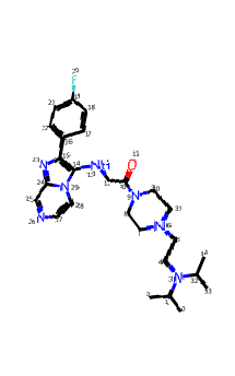 CC(C)N(CCN1CCN(C(=O)CNc2c(-c3ccc(F)cc3)nc3cnccn23)CC1)C(C)C